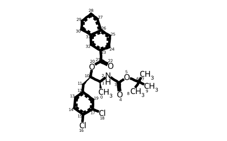 C[C@H](NC(=O)OC(C)(C)C)[C@@H](Cc1ccc(Cl)c(Cl)c1)OC(=O)c1ccc2ccccc2c1